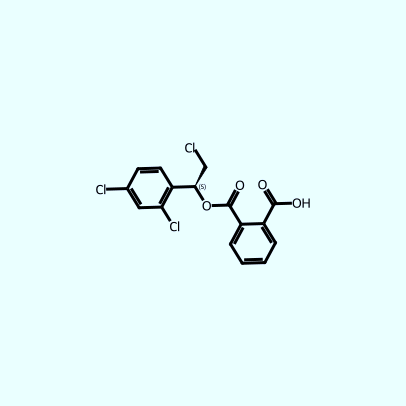 O=C(O)c1ccccc1C(=O)O[C@H](CCl)c1ccc(Cl)cc1Cl